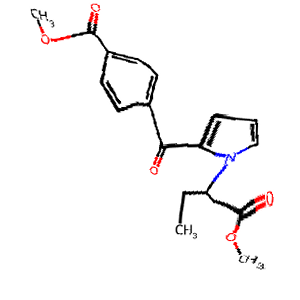 CCC(C(=O)OC)n1cccc1C(=O)c1ccc(C(=O)OC)cc1